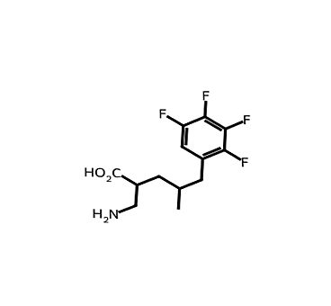 CC(Cc1cc(F)c(F)c(F)c1F)CC(CN)C(=O)O